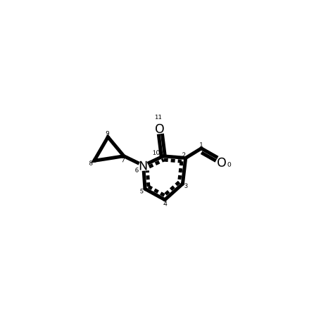 O=Cc1cccn(C2CC2)c1=O